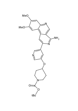 COc1cc2ncc3c(N)nc(-c4cncc(OC5CCN(C(=O)OC(C)(C)C)CC5)c4)cc3c2cc1OC